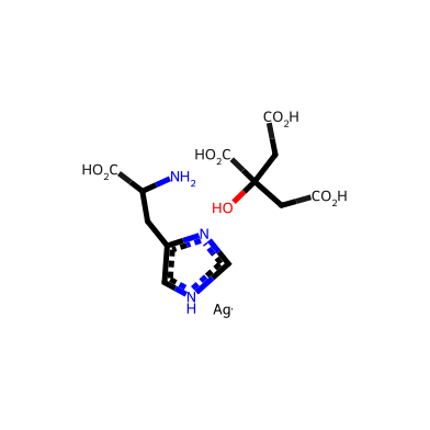 NC(Cc1c[nH]cn1)C(=O)O.O=C(O)CC(O)(CC(=O)O)C(=O)O.[Ag]